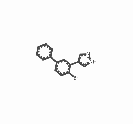 Brc1ccc(-c2ccccc2)cc1-c1cn[nH]c1